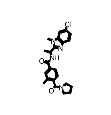 Cc1cc(C(=O)NC(C)c2nc3ccc(Cl)cc3n2C)ccc1C(=O)N1CCCC1